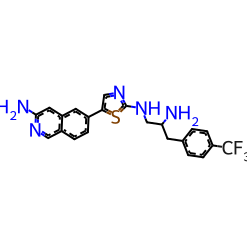 Nc1cc2cc(-c3cnc(NCC(N)Cc4ccc(C(F)(F)F)cc4)s3)ccc2cn1